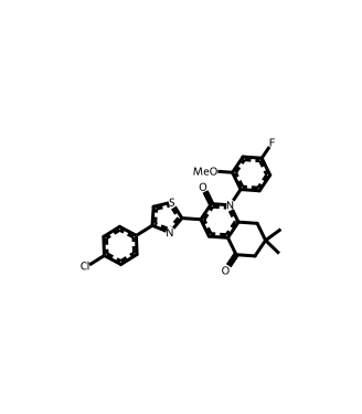 COc1cc(F)ccc1-n1c2c(cc(-c3nc(-c4ccc(Cl)cc4)cs3)c1=O)C(=O)CC(C)(C)C2